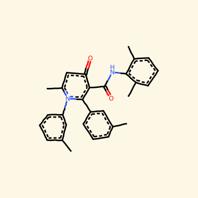 Cc1cccc(-c2c(C(=O)Nc3c(C)cccc3C)c(=O)cc(C)n2-c2cccc(C)c2)c1